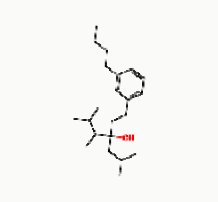 CCCCc1cccc(CCC(O)(CC(C)C)C(C)C(C)C)c1